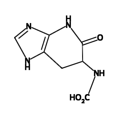 O=C(O)NC1Cc2[nH]cnc2NC1=O